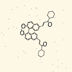 O=C(/C=C/c1ccc2c3c(ccc2c1)OCOc1ccc2cc(/C=C/C(=O)C4CCCCC4)ccc2c1-3)C1CCCCC1